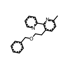 Cc1ccc(CCOCc2ccccc2)c(-c2ccccn2)n1